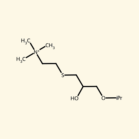 CC(C)OCC(O)CSCC[N+](C)(C)C